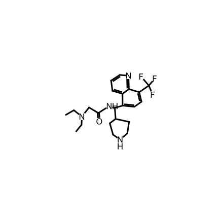 CCN(CC)CC(=O)NC(c1ccc(C(F)(F)F)c2ncccc12)C1CCNCC1